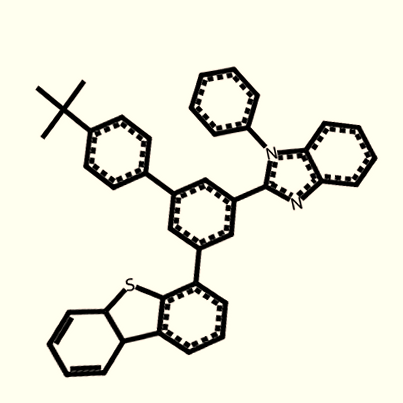 CC(C)(C)c1ccc(-c2cc(-c3cccc4c3SC3C=CC=CC43)cc(-c3nc4ccccc4n3-c3ccccc3)c2)cc1